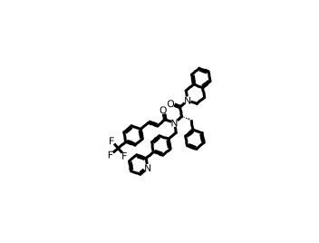 O=C([C@H](Cc1ccccc1)N(Cc1ccc(-c2ccccn2)cc1)C(=O)C=Cc1ccc(C(F)(F)F)cc1)N1CCc2ccccc2C1